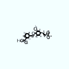 COc1cc(/C=C/[N+](=O)[O-])ccc1OCc1cccc(C(=O)O)c1